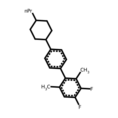 CCCC1CCC(c2ccc(-c3c(C)cc(F)c(F)c3C)cc2)CC1